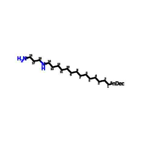 CCCCCCCCCCCCCCCCCCCCCCCCNCCCN